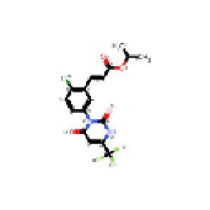 CC(C)OC(=O)/C=C/c1cc(-n2c(=O)cc(C(F)(F)F)[nH]c2=O)ccc1Cl